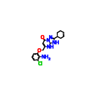 Nc1c(Cl)cccc1OCC1=CC(=O)N2N=C(C3CC=CCC3)NC2N1